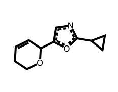 [C]1=CC(c2cnc(C3CC3)o2)OCC1